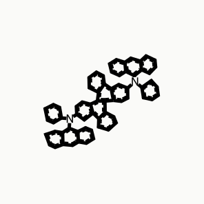 c1ccc(N(c2ccc3c(c2)c2ccccc2c2c4ccc(N(c5ccccc5)c5c6ccccc6cc6ccccc56)cc4c4ccccc4c32)c2c3ccccc3cc3ccccc23)cc1